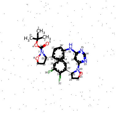 CC(C)(C)OC(=O)N1OCC[C@H]1c1ccc(Nc2cc(N3OCC[C@@H]3c3cccc(F)c3F)ncn2)cc1